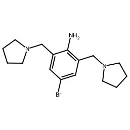 Nc1c(CN2CCCC2)cc(Br)cc1CN1CCCC1